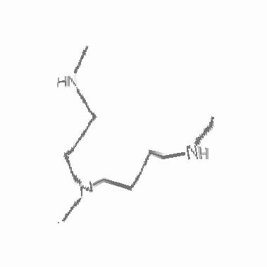 [CH2]N(CCNC)CCNC